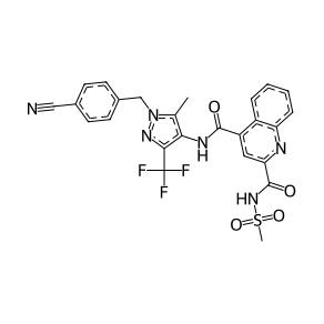 Cc1c(NC(=O)c2cc(C(=O)NS(C)(=O)=O)nc3ccccc23)c(C(F)(F)F)nn1Cc1ccc(C#N)cc1